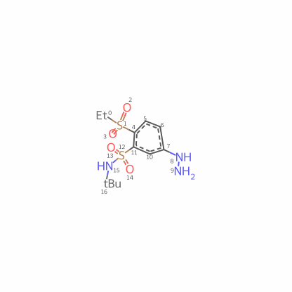 CCS(=O)(=O)c1ccc(NN)cc1S(=O)(=O)NC(C)(C)C